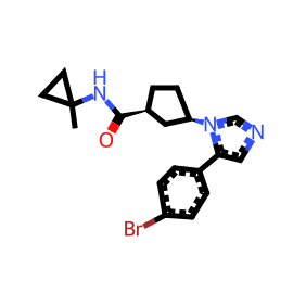 CC1(NC(=O)[C@H]2CC[C@@H](n3cncc3-c3ccc(Br)cc3)C2)CC1